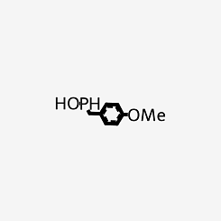 COc1ccc(CPO)cc1